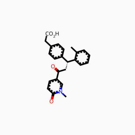 Cc1ccccc1[C@H](CC(=O)c1ccc(=O)n(C)c1)c1ccc(CC(=O)O)cc1